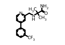 CC(C)(NCc1cc(-c2cccc(C(F)(F)F)c2)ccn1)C(N)=O